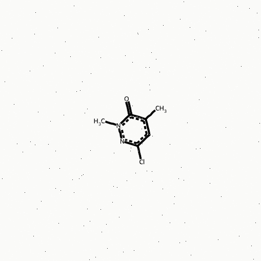 Cc1cc(Cl)nn(C)c1=O